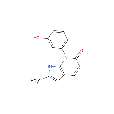 O=C(O)c1cc2ccc(=O)n(-c3cccc(O)c3)c2[nH]1